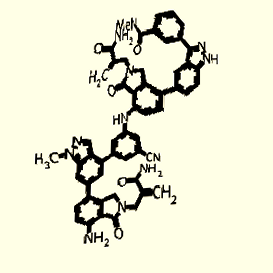 C=C(CN1Cc2c(-c3cc(-c4cc(C#N)cc(Nc5ccc(-c6ccc7[nH]nc(-c8cccc(C(=O)NC)c8)c7c6)c6c5C(=O)N(CC(=C)C(N)=O)C6)c4)c4cnn(C)c4c3)ccc(N)c2C1=O)C(N)=O